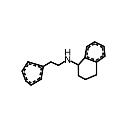 c1ccc(CCNC2CCCc3ccccc32)cc1